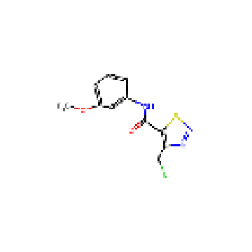 O=C(Nc1cccc(OC(F)(F)F)c1)c1snnc1CCl